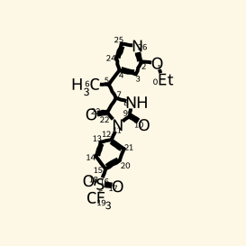 CCOc1cc(C(C)C2NC(=O)N(c3ccc(S(=O)(=O)C(F)(F)F)cc3)C2=O)ccn1